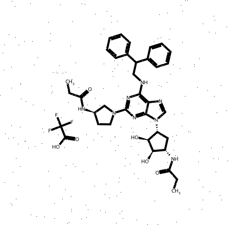 CCC(=O)N[C@@H]1CCN(c2nc(NCC(c3ccccc3)c3ccccc3)c3ncn([C@@H]4C[C@H](NC(=O)CC)[C@@H](O)[C@H]4O)c3n2)C1.O=C(O)C(F)(F)F